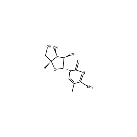 Cc1cn([C@@H]2O[C@](C)(CO)[C@@H](O)[C@H]2O)c(=O)nc1N